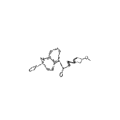 COC1CN(C(=O)c2cccc3nc(Cl)ccc23)C1